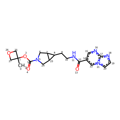 CC1(OC(=O)N2CC3C(CCNC(=O)c4cnc5nccn5c4)C3C2)COC1